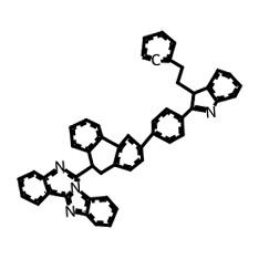 c1ccc(CCC2C(c3ccc(-c4ccc5c(c4)-c4ccccc4C(c4nc6ccccc6c6nc7ccccc7n46)C5)cc3)=Nc3ccccc32)cc1